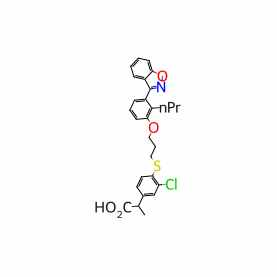 CCCc1c(OCCCSc2ccc(C(C)C(=O)O)cc2Cl)cccc1-c1noc2ccccc12